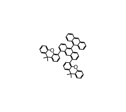 CC1(C)c2ccccc2Oc2c(-c3cccc4c(-c5c6ccccc6cc6ccccc56)c5cccc(-c6cccc7c6Oc6ccccc6C7(C)C)c5cc34)cccc21